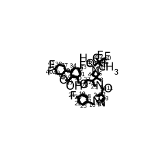 CC(C)(C(=O)N1CC2(CN(C(=O)c3cnn(Cc4ccc(F)cc4)c3)CC2COCc2cc(F)cc(C3CCC(F)(F)CC3)c2C(=O)O)C1)C(F)(F)F